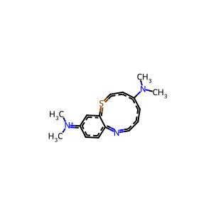 CN(C)c1cccnc2ccc(=[N+](C)C)cc-2scc1